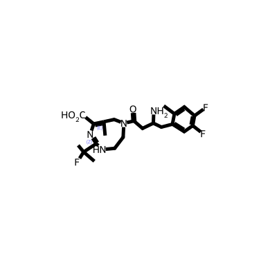 C/C1=C(C(=O)O)\N=C(\C(C)(C)F)NCCN(C(=O)CC(N)Cc2cc(F)c(F)cc2C)C1